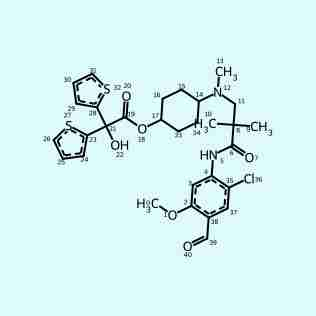 COc1cc(NC(=O)C(C)(C)CN(C)C2CCC(OC(=O)C(O)(c3cccs3)c3cccs3)CC2)c(Cl)cc1C=O